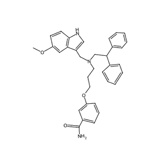 COc1ccc2[nH]cc(CN(CCCOc3cccc(C(N)=O)c3)CC(c3ccccc3)c3ccccc3)c2c1